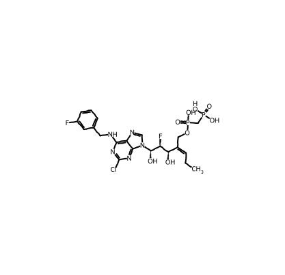 CC/C=C(/COP(=O)(O)CP(=O)(O)O)[C@@H](O)[C@H](F)[C@@H](O)n1cnc2c(NCc3cccc(F)c3)nc(Cl)nc21